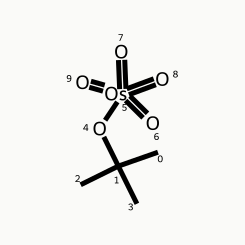 CC(C)(C)[O][Os](=[O])(=[O])(=[O])=[O]